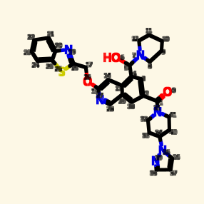 O=C(c1cc(C(O)N2CCCCC2)c2cc(OCc3nc4ccccc4s3)ncc2c1)N1CCC(n2cccn2)CC1